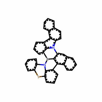 c1ccc2c(c1)Sc1cccc3c1N2B1c2c(cc4ccccc4c2-3)-n2c3ccc4ccccc4c3c3cccc1c32